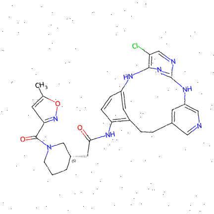 Cc1cc(C(=O)N2CCC[C@@H](CC(=O)Nc3ccc4cc3CCc3cncc(c3)Nc3ncc(Cl)c(n3)N4)C2)no1